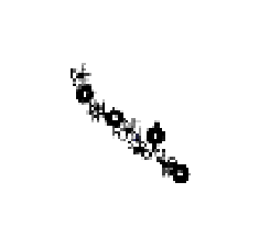 Cc1ccc(COCc2nc3ccccc3o2)c(N2C(=O)CS/C2=N\C(=O)Nc2ccc(-c3ncn(-c4ccc(OC(F)(F)F)cc4)n3)cc2F)c1